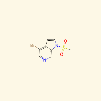 CS(=O)(=O)n1ccc2c(Br)cncc21